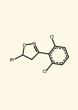 CC(C)C1CC(c2c(Cl)cccc2Cl)=NO1